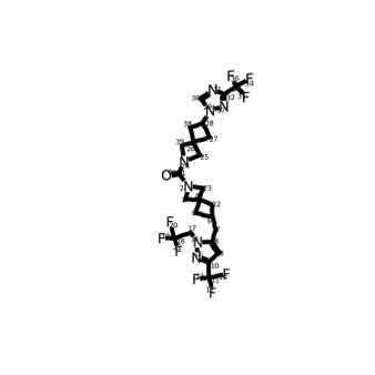 O=C(N1CC2(CC(Cc3cc(C(F)(F)F)nn3CC(F)(F)F)C2)C1)N1CC2(CC(n3cnc(C(F)(F)F)n3)C2)C1